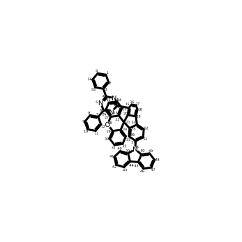 c1ccc(-c2nc(-c3ccccc3)nc(-c3cccc4c3C3(c5ccccc5Oc5ccccc53)c3cc(-n5c6ccccc6c6ccccc65)ccc3-4)n2)cc1